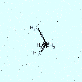 CCCCCCCCCCCCCC[Si](OC)(OC)C(F)CCCCCCC